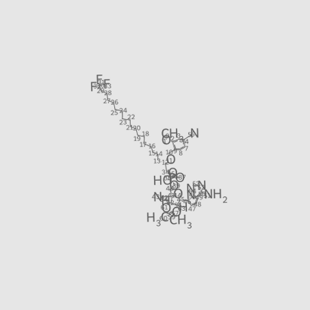 COc1cc(C#N)ccc1CO[C@@H](CCCCCCCCCCCCCCCCCC(F)(F)F)COP(=O)(O)OC[C@@]1(C#N)O[C@@H](c2ccc3c(N)ncnn23)[C@@H]2OC(C)(C)O[C@@H]21